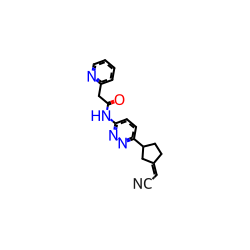 N#CC=C1CCC(c2ccc(NC(=O)Cc3ccccn3)nn2)C1